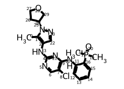 Cc1c(Nc2ncc(Cl)c(Nc3ccccc3P(C)(C)=O)n2)cnn1[C@H]1CCOC1